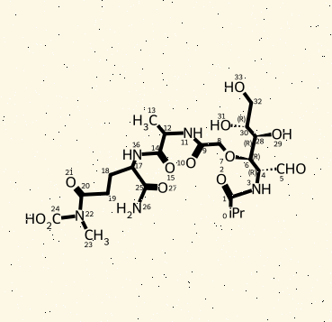 CC(C)C(=O)N[C@@H](C=O)[C@@H](OCC(=O)NC(C)C(=O)NC(CCC(=O)N(C)C(=O)O)C(N)=O)[C@H](O)[C@H](O)CO